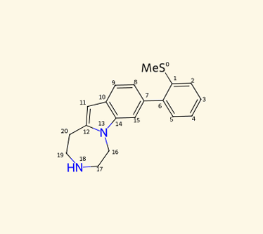 CSc1ccccc1-c1ccc2cc3n(c2c1)CCNCC3